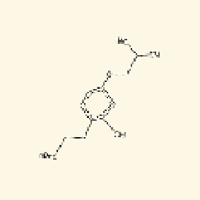 CCCCCCCCCCCCc1ccc(OCC(C#N)C#N)cc1O